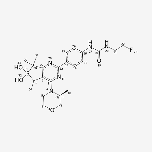 CC1c2c(N3CCOC[C@@H]3C)nc(-c3ccc(NC(=O)NCCF)cc3)nc2C(C)(C)S1(O)O